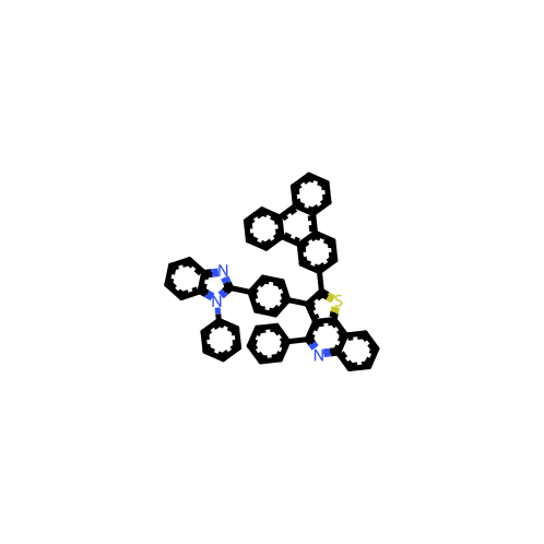 c1ccc(-c2nc3ccccc3c3sc(-c4ccc5c6ccccc6c6ccccc6c5c4)c(-c4ccc(-c5nc6ccccc6n5-c5ccccc5)cc4)c23)cc1